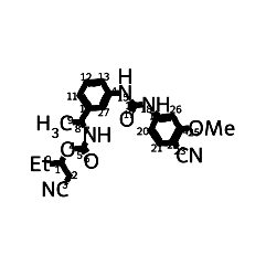 CCC(CC#N)OC(=O)NC(C)c1cccc(NC(=O)Nc2ccc(C#N)c(OC)c2)c1